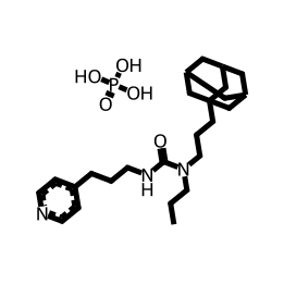 CCCN(CCCC12CC3CC(CC(C3)C1)C2)C(=O)NCCCc1ccncc1.O=P(O)(O)O